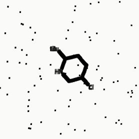 CC(C)(C)C1CCC(Cl)CN1